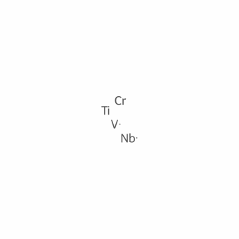 [Cr].[Nb].[Ti].[V]